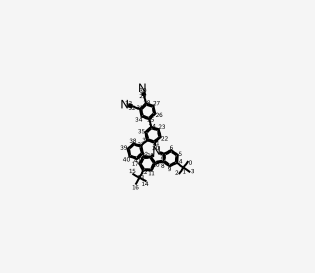 CC(C)(C)c1ccc2c(c1)c1cc(C(C)(C)C)ccc1n2-c1ccc(-c2ccc(C#N)c(C#N)c2)cc1-c1ccccc1